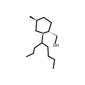 CCCCC(CCC)N1C[C@@H](C)CC[C@@H]1CO